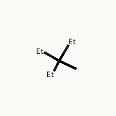 [CH2]CC([CH2])(CC)CC